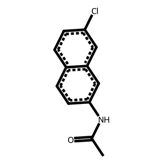 CC(=O)Nc1ccc2ccc(Cl)cc2c1